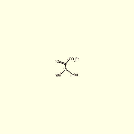 CCCCN(C(=O)C(=O)OCC)C(C)(C)C